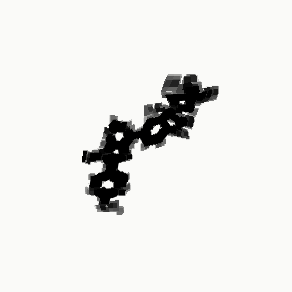 CCn1c(-c2cnc(C)nc2)nc2c(-c3ccc4c(c3)[C@@](C)(N3CC(C)(O)C3)C(=O)N4)ncnc21